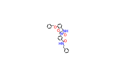 CC12CC(NC(=O)N1c1cccc(C(=O)NCCc3ccccc3)c1)c1cccc(OCc3ccccc3)c1O2